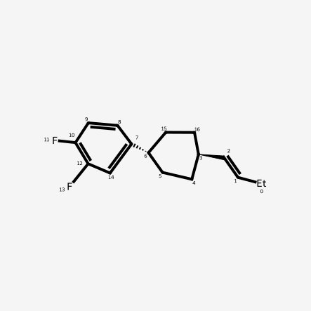 CCC=C[C@H]1CC[C@H](c2ccc(F)c(F)c2)CC1